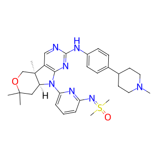 CN1CCC(c2ccc(Nc3ncc4c(n3)N(c3cccc(N=S(C)(C)=O)n3)[C@H]3CC(C)(C)OC[C@@]43C)cc2)CC1